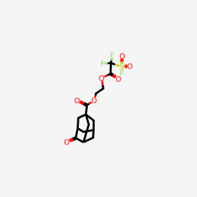 O=C1C2CC3CC1CC(C(=O)OCCOC(=O)C(F)(F)S(=O)(=O)F)(C3)C2